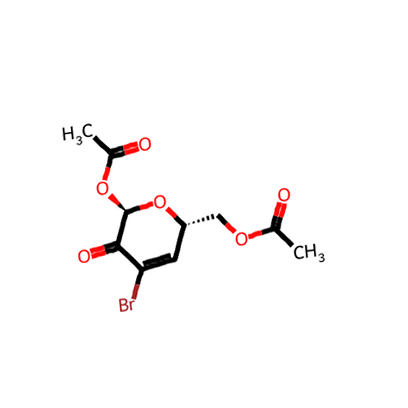 CC(=O)OC[C@@H]1C=C(Br)C(=O)[C@@H](OC(C)=O)O1